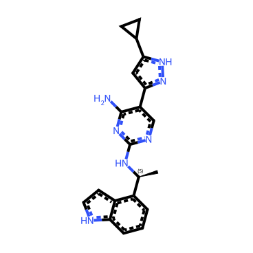 C[C@H](Nc1ncc(-c2cc(C3CC3)[nH]n2)c(N)n1)c1cccc2[nH]ccc12